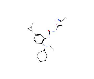 Cc1cc(NC(=O)Nc2cc([C@H]3C[C@H]3C(=O)O)ccc2N(CC(C)C)C2CCCCC2)on1